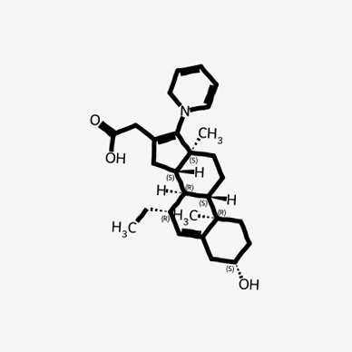 CC[C@H]1C=C2C[C@@H](O)CC[C@]2(C)[C@H]2CC[C@]3(C)C(N4C=CC=CC4)=C(CC(=O)O)C[C@H]3[C@H]12